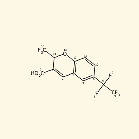 O=C(O)C1=Cc2cc(C(F)(F)C(F)(F)F)ccc2OC1C(F)(F)F